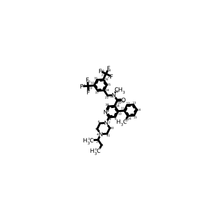 CCC(C)N1CCN(c2cc(-c3ccccc3C)c(C(=O)N(C)Cc3cc(C(F)(F)F)cc(C(F)(F)F)c3)cn2)CC1